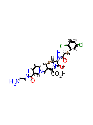 NCCNC(=O)c1ccc[n+](CC2=C(C(=O)O)N3C(=O)[C@H](NC(=O)CSc4cc(Cl)ccc4Cl)[C@H]3SC2)c1